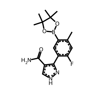 Cc1cc(F)c(-c2n[nH]cc2C(N)=O)cc1B1OC(C)(C)C(C)(C)O1